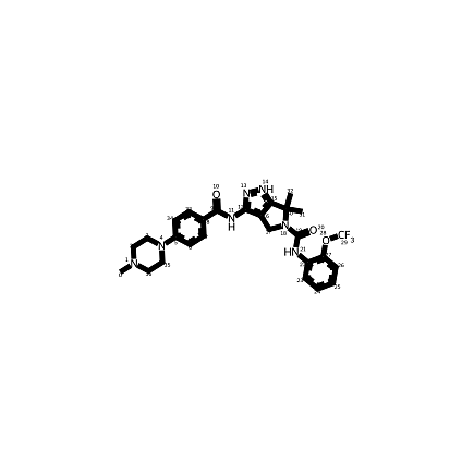 CN1CCN(c2ccc(C(=O)Nc3n[nH]c4c3CN(C(=O)Nc3ccccc3OC(F)(F)F)C4(C)C)cc2)CC1